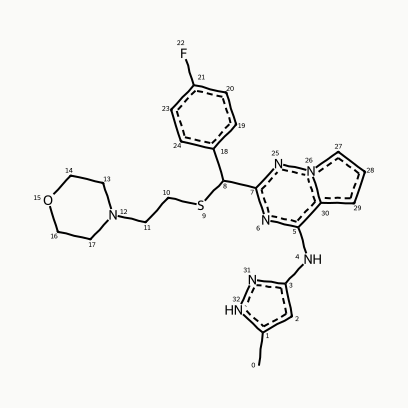 Cc1cc(Nc2nc(C(SCCN3CCOCC3)c3ccc(F)cc3)nn3cccc23)n[nH]1